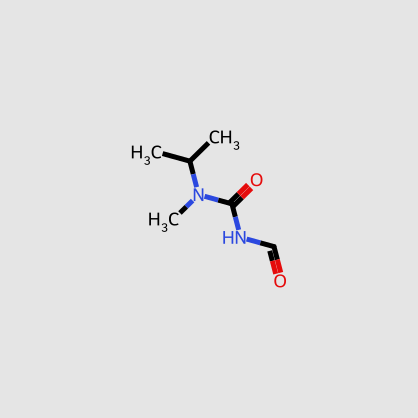 CC(C)N(C)C(=O)NC=O